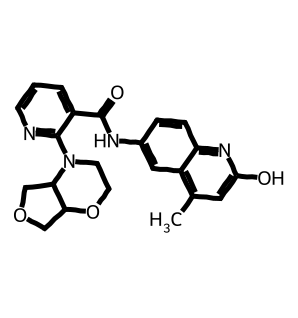 Cc1cc(O)nc2ccc(NC(=O)c3cccnc3N3CCOC4COCC43)cc12